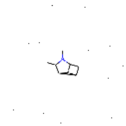 CC1C2C3CC(C32)N1C